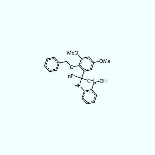 CCCC(C)(Pc1ccccc1CO)c1cc(OC)cc(OC)c1OCc1ccccc1